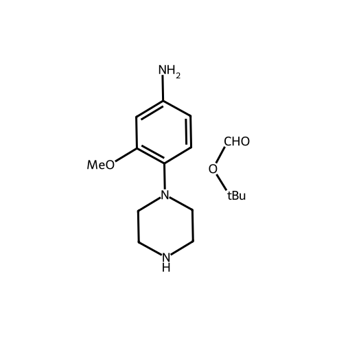 CC(C)(C)OC=O.COc1cc(N)ccc1N1CCNCC1